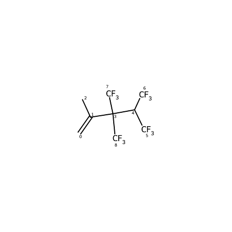 C=C(C)C(C(C(F)(F)F)C(F)(F)F)(C(F)(F)F)C(F)(F)F